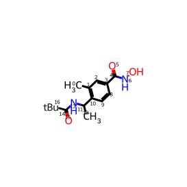 Cc1cc(C(=O)NO)ccc1C(C)NC(=O)C(C)(C)C